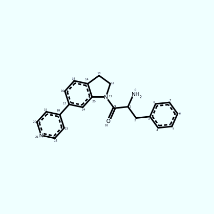 NC(Cc1ccccc1)C(=O)N1CCc2ccc(-c3ccncc3)cc21